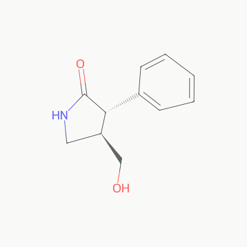 O=C1NC[C@H](CO)[C@H]1c1ccccc1